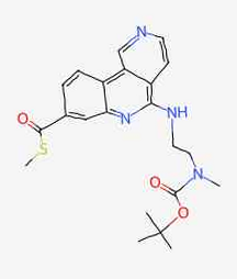 CSC(=O)c1ccc2c(c1)nc(NCCN(C)C(=O)OC(C)(C)C)c1ccncc12